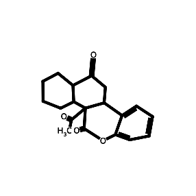 CC(=O)C12C(=O)Oc3ccccc3C1CC(=O)C1CCCCC12